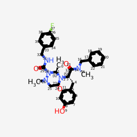 C[C@H]1N([C@@H](Cc2ccc(O)cc2)C(=O)N(C)Cc2ccccc2)C(=O)CN(C)N1C(=O)NCc1ccc(F)cc1